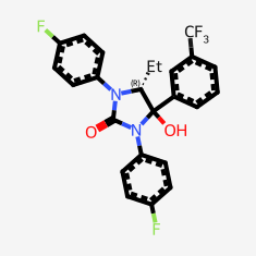 CC[C@H]1N(c2ccc(F)cc2)C(=O)N(c2ccc(F)cc2)C1(O)c1cccc(C(F)(F)F)c1